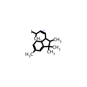 CC1=CCC2C(=C1)C(C)(C)C(C)C2/C=C\C(C)I